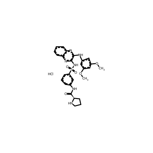 COc1cc(Nc2nc3ccccc3nc2NS(=O)(=O)c2cccc(NC(=O)[C@H]3CCCN3)c2)cc(OC)c1.Cl